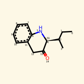 CCC(C)[C@@H]1Nc2ccccc2CC1=O